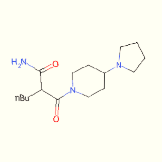 CCCCC(C(N)=O)C(=O)N1CCC(N2CCCC2)CC1